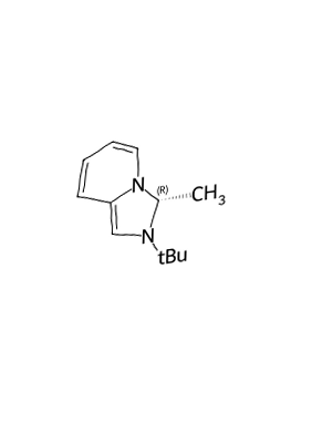 C[C@H]1N2C=CC=CC2=CN1C(C)(C)C